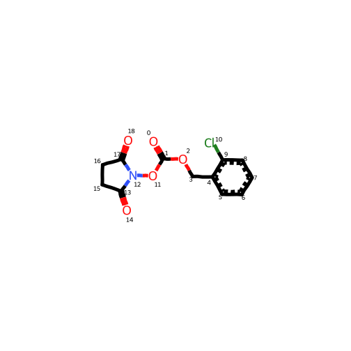 O=C(OCc1ccccc1Cl)ON1C(=O)CCC1=O